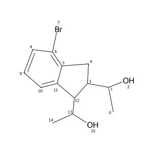 CC(O)C1Cc2c(Br)cccc2C1C(C)O